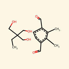 CCC(CO)(CO)CO.Cc1c(C=O)ccc(C=O)c1C